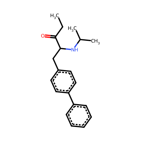 CCC(=O)C(Cc1ccc(-c2ccccc2)cc1)NC(C)C